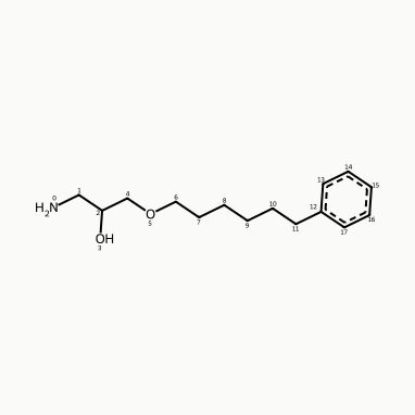 NCC(O)COCCCCCCc1ccccc1